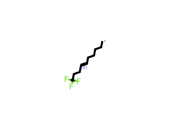 [CH2]CCCC/C=C/CCC(F)(F)F